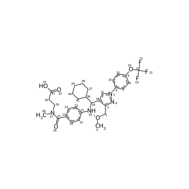 COCc1nn(-c2ccc(OC(F)(F)F)cc2)cc1C(Nc1ccc(C(=O)N(C)CCC(=O)O)cc1)C1CCCCC1